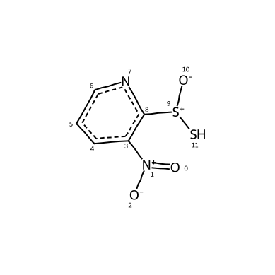 O=[N+]([O-])c1cccnc1[S+]([O-])S